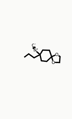 [C-]#[N+]C1(CCC)CCC2(CC1)OCCO2